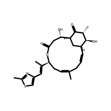 C/C1=C/C[C@@H](/C(C)=C/c2csc(C)n2)OC(=O)C[C@H](O)[C@]2(C)C[C@@H](/C=C\C1)[C@H](O)[C@@H](C)C2=O